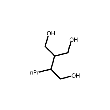 CCCC(CO)C(CO)CO